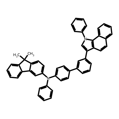 CC1(C)c2ccccc2-c2cc(N(c3ccccc3)c3ccc(-c4cccc(-c5cn(-c6ccccc6)c6c5ccc5ccccc56)c4)cc3)ccc21